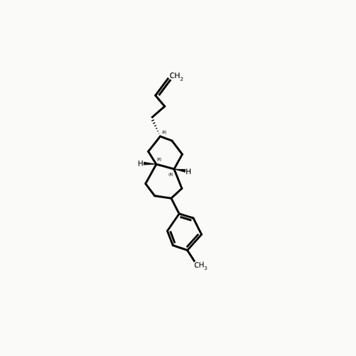 C=CCC[C@@H]1CC[C@@H]2CC(c3ccc(C)cc3)CC[C@@H]2C1